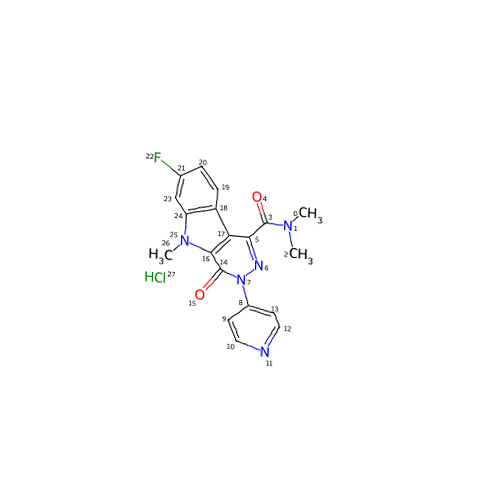 CN(C)C(=O)c1nn(-c2ccncc2)c(=O)c2c1c1ccc(F)cc1n2C.Cl